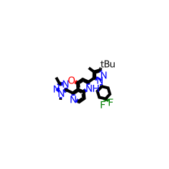 Cc1nc(-c2nccc3[nH]c(-c4c(C)c(C(C)(C)C)nn4C4CCC(F)(F)CC4)cc(=O)c23)n(C)n1